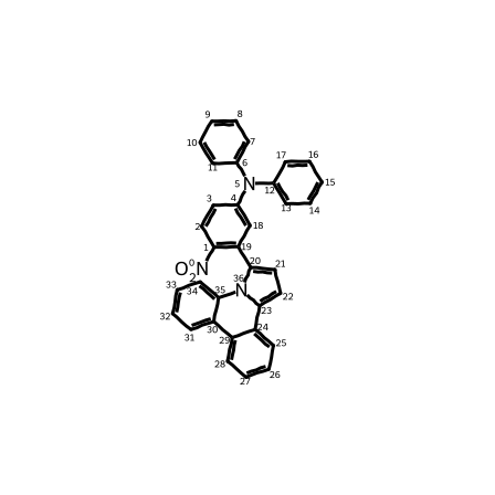 O=[N+]([O-])c1ccc(N(c2ccccc2)c2ccccc2)cc1-c1ccc2c3ccccc3c3ccccc3n12